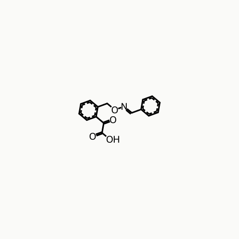 O=C(O)C(=O)c1ccccc1CON=Cc1ccccc1